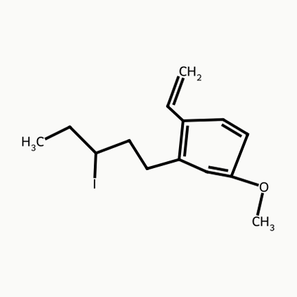 C=Cc1ccc(OC)cc1CCC(I)CC